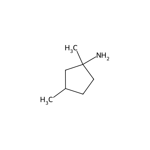 CC1CCC(C)(N)C1